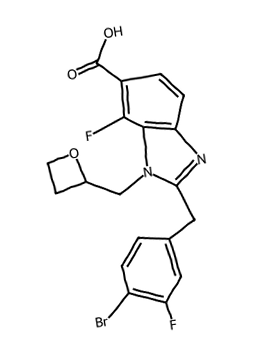 O=C(O)c1ccc2nc(Cc3ccc(Br)c(F)c3)n(CC3CCO3)c2c1F